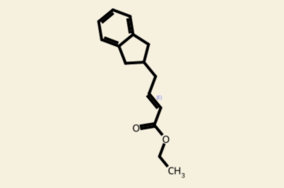 CCOC(=O)/C=C/CC1Cc2ccccc2C1